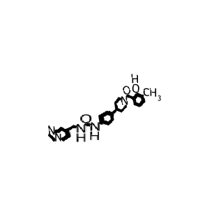 Cc1cccc(C(=O)N2CCC(c3ccc(NC(=O)NCc4ccn5ccnc5c4)cc3)CC2)c1O